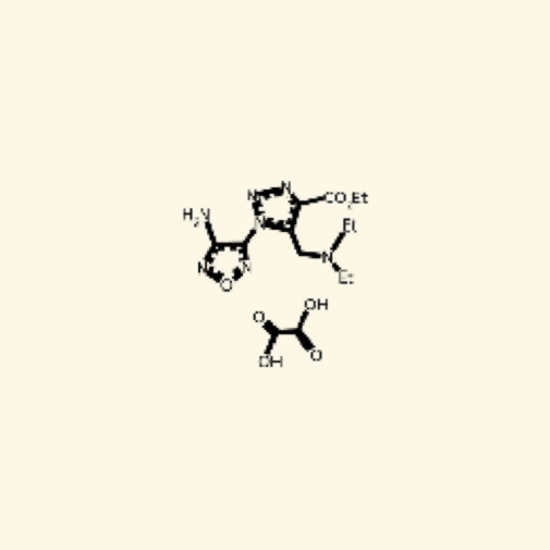 CCOC(=O)c1nnn(-c2nonc2N)c1CN(CC)CC.O=C(O)C(=O)O